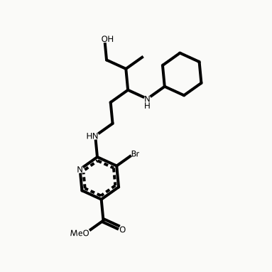 COC(=O)c1cnc(NCCC(NC2CCCCC2)C(C)CO)c(Br)c1